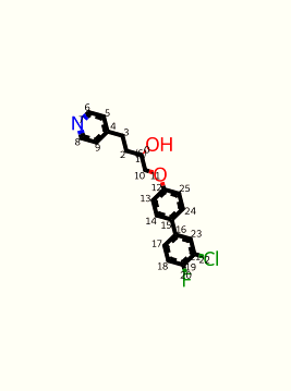 O[C@@H](CCc1ccncc1)COc1ccc(-c2ccc(F)c(Cl)c2)cc1